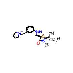 CCn1c(=C(C#N)C(=O)O)sc(=CNc2cccc(CCN3CCCC3)c2)c1=O